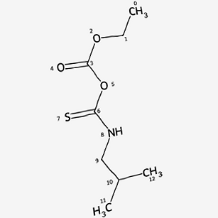 CCOC(=O)OC(=S)NCC(C)C